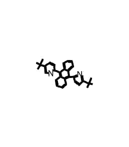 CC(C)(C)c1ccc(-c2c3ccccc3c(-c3ccc(C(C)(C)C)cn3)c3ccccc23)nc1